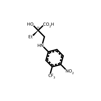 CC[C@](O)(CNc1ccc([N+](=O)[O-])c(C(F)(F)F)c1)C(=O)O